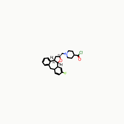 O=C(Cl)C1CCN(C[C@@H]2C[C@@H]3c4ccccc4CC4C=CC(F)=CC4[C@@H]3O2)CC1